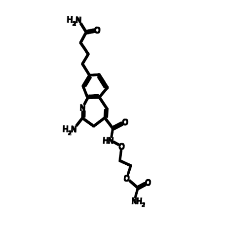 NC(=O)CCCc1ccc2c(c1)N=C(N)CC(C(=O)NOCCOC(N)=O)=C2